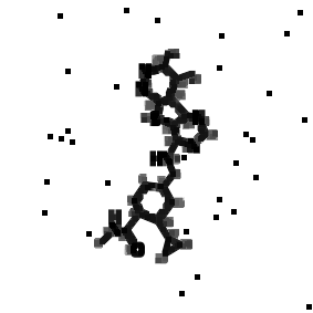 CNC(=O)c1ccc(CNc2ncnc3c2sc2nnc(C)c(C)c23)cc1C1CC1